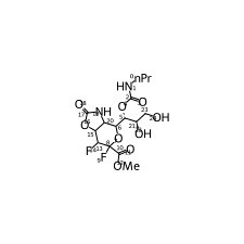 CCCNC(=O)O[C@@H](C1OC(F)(C(=O)OC)C(F)C2OC(=O)NC21)[C@H](O)CO